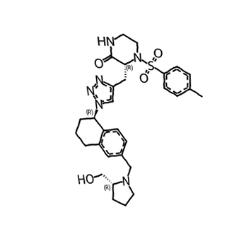 Cc1ccc(S(=O)(=O)N2CCNC(=O)[C@H]2Cc2cn([C@@H]3CCCc4cc(CN5CCC[C@@H]5CO)ccc43)nn2)cc1